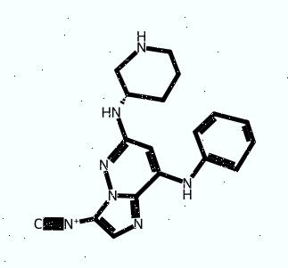 [C-]#[N+]c1cnc2c(Nc3ccccc3)cc(N[C@H]3CCCNC3)nn12